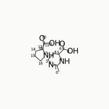 CC1=NCCC(C(=O)O)N1.O=C(O)[C@@H]1CCCN1